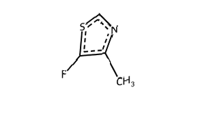 Cc1ncsc1F